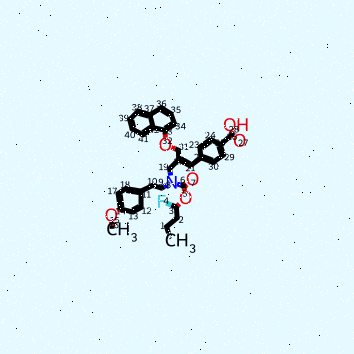 CCCC(F)OC(=O)N(CCc1ccc(OC)cc1)CC(=Cc1ccc(C(=O)O)cc1)COc1cccc2ccccc12